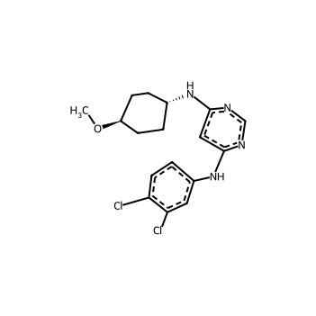 CO[C@H]1CC[C@H](Nc2cc(Nc3ccc(Cl)c(Cl)c3)ncn2)CC1